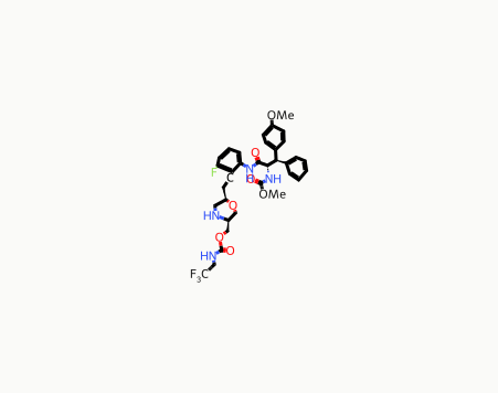 COC(=O)N[C@H](C(=O)Nc1cccc(F)c1CC[C@@H]1CN[C@H](COC(=O)NCC(F)(F)F)CO1)[C@H](c1ccccc1)c1ccc(OC)cc1